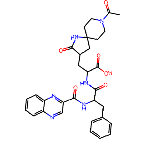 CC(=O)N1CCC2(CC1)CC(CC(NC(=O)C(Cc1ccccc1)NC(=O)c1cnc3ccccc3n1)C(=O)O)C(=O)N2